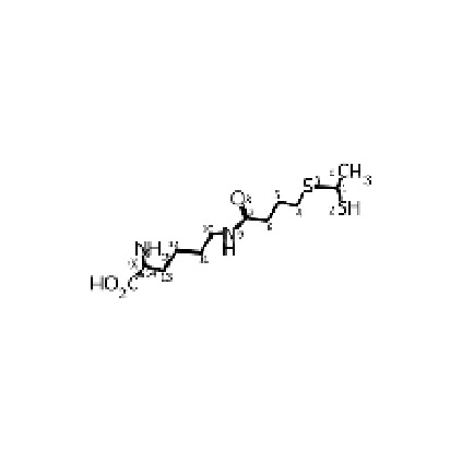 CC(S)SCCCC(=O)NCCCC[C@H](N)C(=O)O